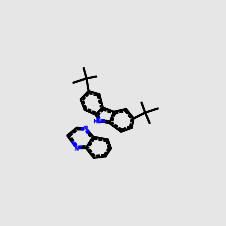 CC(C)(C)c1ccc2[nH]c3ccc(C(C)(C)C)cc3c2c1.c1ccc2nccnc2c1